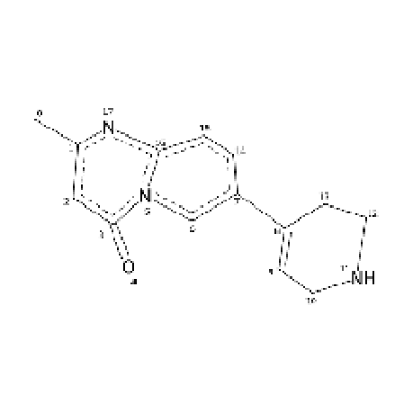 Cc1cc(=O)n2cc(C3=CCNCC3)ccc2n1